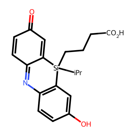 CC(C)[Si]1(CCCC(=O)O)C2=CC(=O)C=CC2=Nc2ccc(O)cc21